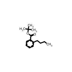 CCCCc1ccccc1C(=O)OC(C)(C)C